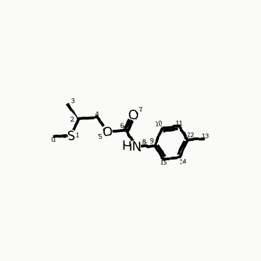 CS[C@@H](C)COC(=O)Nc1ccc(C)cc1